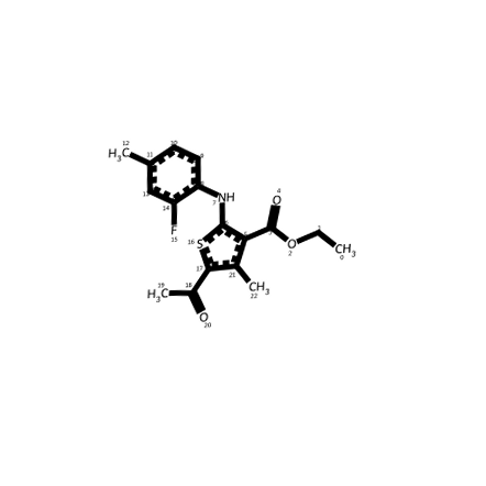 CCOC(=O)c1c(Nc2ccc(C)cc2F)sc(C(C)=O)c1C